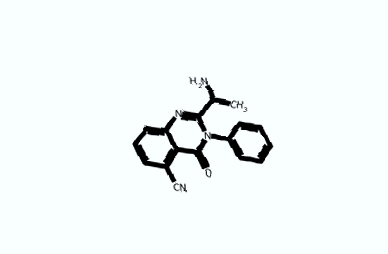 CC(N)c1nc2cccc(C#N)c2c(=O)n1-c1ccccc1